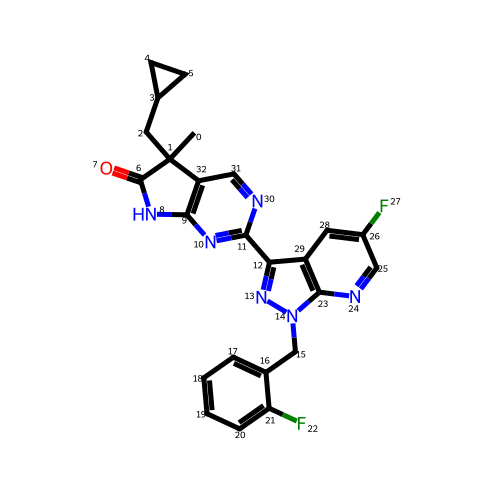 CC1(CC2CC2)C(=O)Nc2nc(-c3nn(Cc4ccccc4F)c4ncc(F)cc34)ncc21